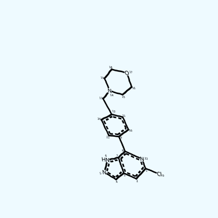 Clc1cc2cn[nH]c2c(-c2ccc(CN3CCOCC3)cc2)n1